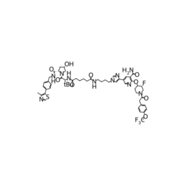 Cc1ncsc1-c1ccc(CNC(=O)[C@@H]2C[C@@H](O)CN2C(=O)[C@@H](NC(=O)CCCCC(=O)NCCCCn2cnc(-c3cnc(O[C@@H]4CCN(C(=O)Cc5ccc(OC(F)(F)F)cc5)C[C@H]4F)c(C(N)=O)c3)c2)C(C)(C)C)cc1